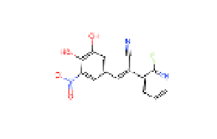 N#C/C(=C\c1cc(O)c(O)c([N+](=O)[O-])c1)c1cccnc1F